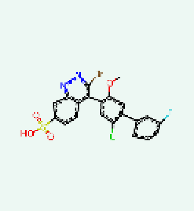 COc1cc(-c2cccc(F)c2)c(Cl)cc1-c1c(Br)nnc2cc(S(=O)(=O)O)ccc12